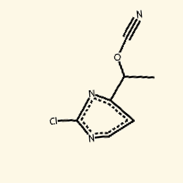 CC(OC#N)c1ccnc(Cl)n1